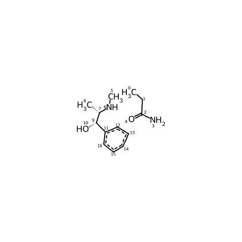 CCC(N)=O.CN[C@@H](C)[C@@H](O)c1ccccc1